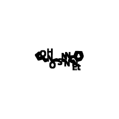 CCn1c2ccccc2c2nnc(SCC(=O)NCc3ccco3)nc21